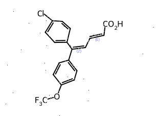 O=C(O)/C=C/C=C(\c1ccc(Cl)cc1)c1ccc(OC(F)(F)F)cc1